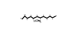 CCCCCCCCCCCC.CO